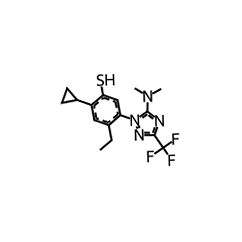 CCc1cc(C2CC2)c(S)cc1-n1nc(C(F)(F)F)nc1N(C)C